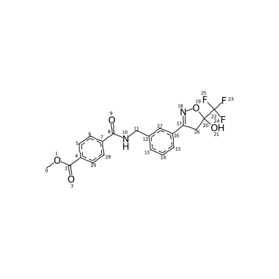 COC(=O)c1ccc(C(=O)NCc2cccc(C3=NOC(O)(C(F)(F)F)C3)c2)cc1